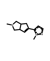 CN1CC2C=C(c3ccnn3C)CC2C1